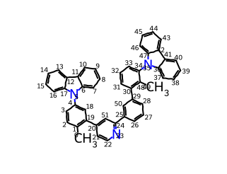 Cc1ccc(-n2c3ccccc3c3ccccc32)cc1-c1ccnc(-c2cccc(-c3cccc(-n4c5ccccc5c5ccccc54)c3C)c2)c1